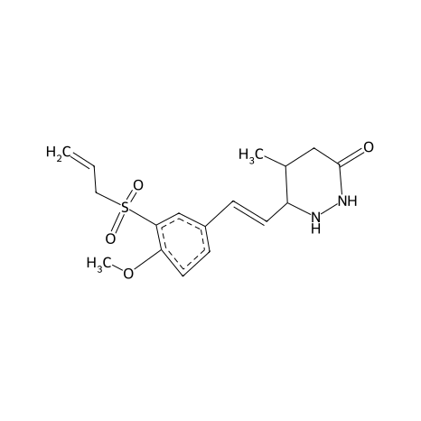 C=CCS(=O)(=O)c1cc(/C=C/C2NNC(=O)CC2C)ccc1OC